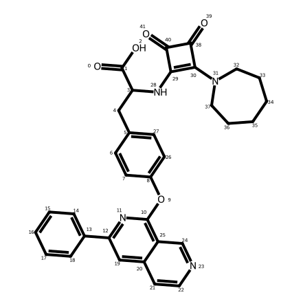 O=C(O)C(Cc1ccc(Oc2nc(-c3ccccc3)cc3ccncc23)cc1)Nc1c(N2CCCCCC2)c(=O)c1=O